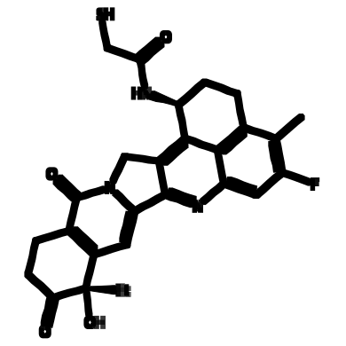 CC[C@@]1(O)C(=O)CCc2c1cc1n(c2=O)Cc2c-1nc1cc(F)c(C)c3c1c2[C@@H](NC(=O)CS)CC3